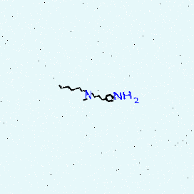 CCCCCCCN(CC)CCCCc1ccc(N)cc1